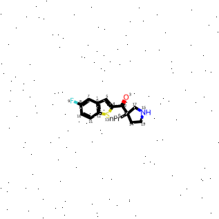 CCCC1(C(=O)c2cc3cc(F)ccc3s2)CCNC1